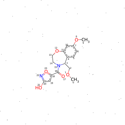 COCC1c2ccc(OC)cc2OCCN1C(=O)c1cc(O)no1